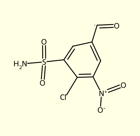 NS(=O)(=O)c1cc([C]=O)cc([N+](=O)[O-])c1Cl